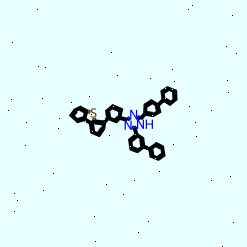 c1ccc(-c2ccc(C3=NC(c4cccc(-c5cccc6c5sc5ccccc56)c4)=NC(c4cccc(-c5ccccc5)c4)N3)cc2)cc1